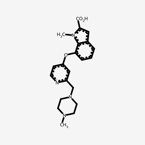 CN1CCN(Cc2cc(Oc3cccc4cc(C(=O)O)n(C)c34)ccn2)CC1